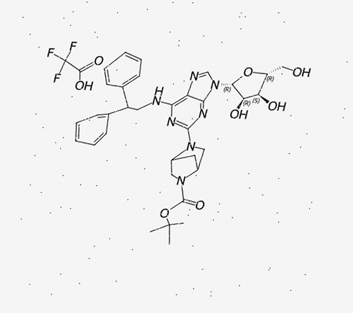 CC(C)(C)OC(=O)N1CC2CC1CN2c1nc(NCC(c2ccccc2)c2ccccc2)c2ncn([C@@H]3O[C@H](CO)[C@@H](O)[C@H]3O)c2n1.O=C(O)C(F)(F)F